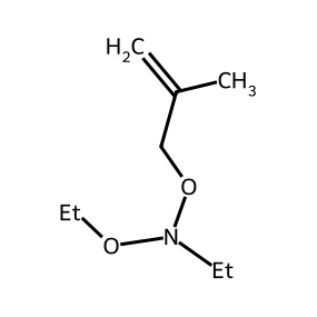 C=C(C)CON(CC)OCC